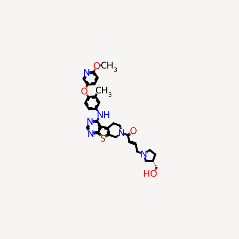 COc1ccc(Oc2ccc(Nc3ncnc4sc5c(c34)CCN(C(=O)/C=C/CN3CC[C@H](CO)C3)C5)cc2C)cn1